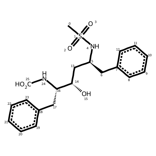 CS(=O)(=O)N[C@@H](Cc1ccccc1)C[C@H](O)[C@H](Cc1ccccc1)NC(=O)O